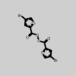 O=C(OOC(=O)c1cc(Br)cs1)c1cc(Br)cs1